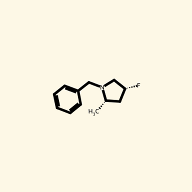 C[C@H]1C[C@@H](F)CN1Cc1ccccc1